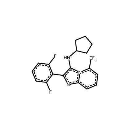 Fc1cccc(F)c1-c1nc2cccc(C(F)(F)F)n2c1NC1CCCC1